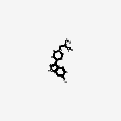 [CH2][C@@H](C)CN1CCC(c2noc3cc(F)ccc23)CC1